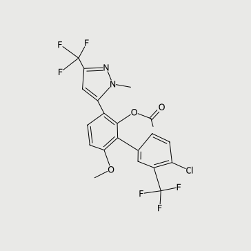 COc1ccc(-c2cc(C(F)(F)F)nn2C)c(OC(C)=O)c1-c1ccc(Cl)c(C(F)(F)F)c1